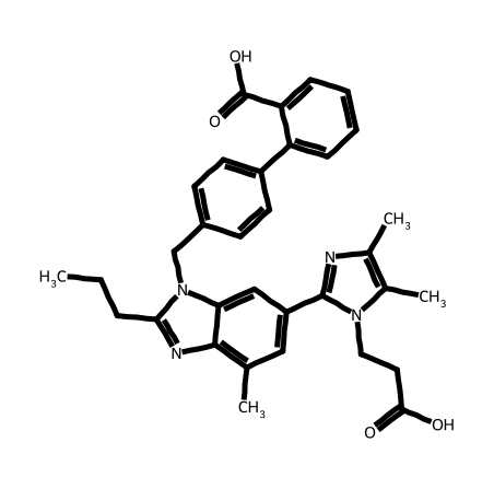 CCCc1nc2c(C)cc(-c3nc(C)c(C)n3CCC(=O)O)cc2n1Cc1ccc(-c2ccccc2C(=O)O)cc1